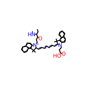 CCC(NC)C(=O)CC[N+]1=C(/C=C/C=C/C=C/C=C2/N(CCC(=O)O)c3ccc4ccccc4c3C2(C)C)C(C)(C)c2c1ccc1ccccc21